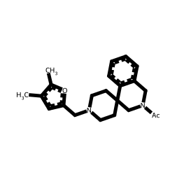 CC(=O)N1Cc2ccccc2C2(CCN(Cc3cc(C)c(C)o3)CC2)C1